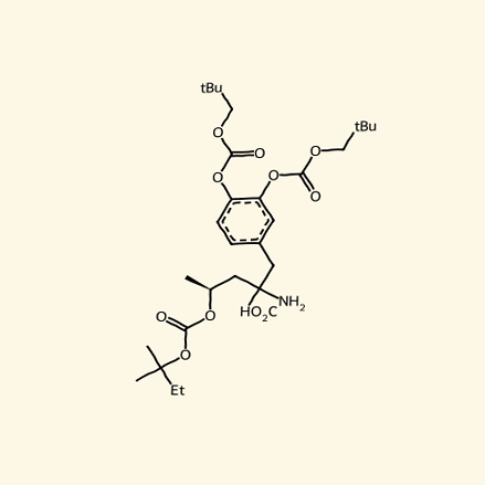 CCC(C)(C)OC(=O)O[C@@H](C)CC(N)(Cc1ccc(OC(=O)OCC(C)(C)C)c(OC(=O)OCC(C)(C)C)c1)C(=O)O